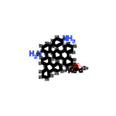 CC(=O)[O-].CC(=O)[O-].Nc1ccc(-c2ccc(N)c(-c3ccc4c5ccccc5c5ccccc5c4c3)c2-c2ccc3c4ccccc4c4ccccc4c3c2)cc1.[Pd+2]